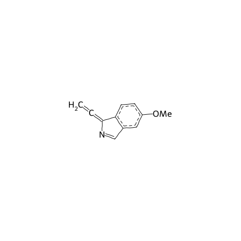 C=C=C1N=Cc2cc(OC)ccc21